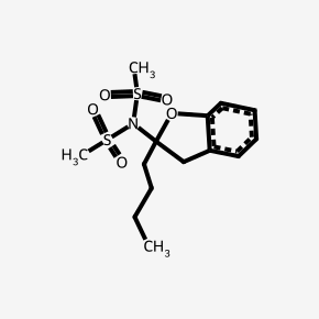 CCCCC1(N(S(C)(=O)=O)S(C)(=O)=O)Cc2ccccc2O1